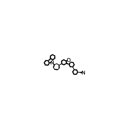 N#Cc1cccc(-c2ccc3oc4ccc(C5=CC=CC=C(n6c7ccccc7c7ccccc76)C5)cc4c3c2)c1